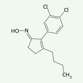 CCCCC1=C(c2ccc(Cl)c(Cl)c2)/C(=N/O)CC1